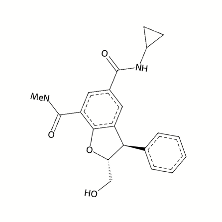 CNC(=O)c1cc(C(=O)NC2CC2)cc2c1O[C@@H](CO)[C@@H]2c1ccccc1